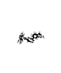 CN1C[C@H]2CN(c3cncc(-c4ccc5cc[nH]c5c4)n3)C[C@H]21